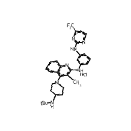 Cc1c(Nc2cccc(Nc3nccc(C(F)(F)F)n3)c2)nc2ccccc2c1N1CCC(NC(C)(C)C)CC1.Cl